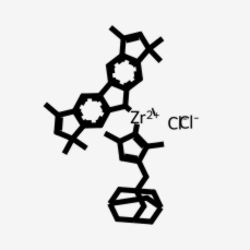 [CH2]=[Zr+2]([C]1=C(C)C(CC23CC4CC(CC(C4)C2)C3)=CC1C)[CH]1c2cc3c(cc2-c2cc4c(cc21)C(C)(C)C=C4C)C(C)=CC3(C)C.[Cl-].[Cl-]